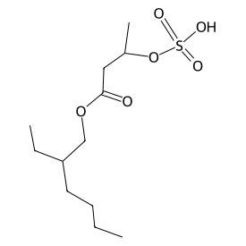 CCCCC(CC)COC(=O)CC(C)OS(=O)(=O)O